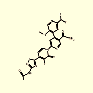 COc1cnc(C(F)F)cc1-c1cc(-n2ccc(-c3nc(NC(C)=O)ns3)c(F)c2=O)ncc1C(N)=O